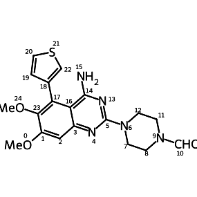 COc1cc2nc(N3CCN(C=O)CC3)nc(N)c2c(-c2ccsc2)c1OC